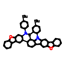 CC(C)(C)c1ccc(N2B3c4cc(C(C)(C)C)ccc4-n4c5cc6c(cc5c5ccc(c3c54)-c3cc4c(cc32)oc2ccccc24)oc2ccccc26)cc1